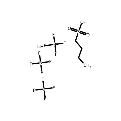 CCCCS(=O)(=O)O.F[B-](F)(F)F.F[B-](F)(F)F.F[B-](F)(F)F.[LiH]